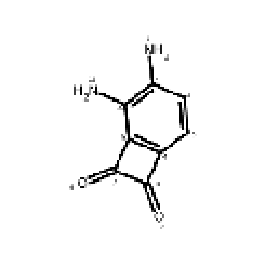 Nc1c[c]c2c(=O)c(=O)c2c1N